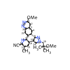 COc1cc2ccc(-c3nc(C#N)c(C)cc3-c3cnn(CC(C)(C)OC)c3)cc2nn1